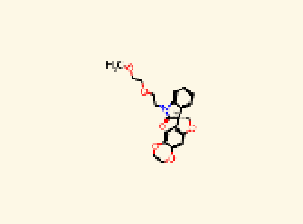 COCCOCCN1C(=O)[C@@]2(COc3cc4c(cc32)OCCO4)c2ccccc21